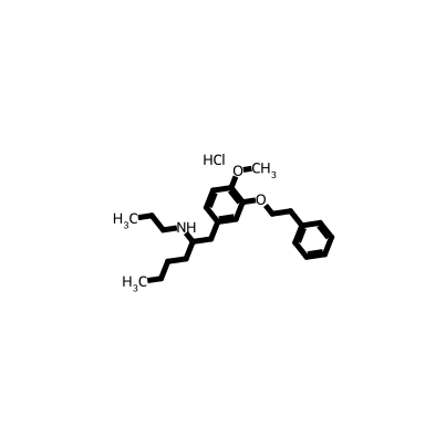 CCCCC(Cc1ccc(OC)c(OCCc2ccccc2)c1)NCCC.Cl